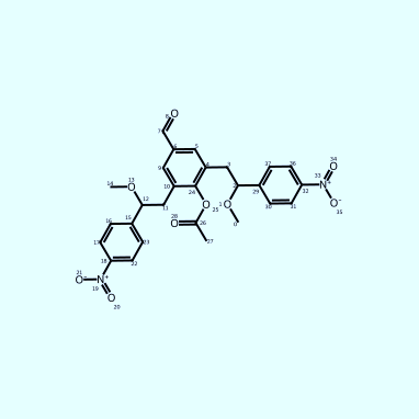 COC(Cc1cc([C]=O)cc(CC(OC)c2ccc([N+](=O)[O-])cc2)c1OC(C)=O)c1ccc([N+](=O)[O-])cc1